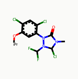 CC(C)Oc1cc(N2C(=O)N(C)C(Cl)N2C(F)F)c(Cl)cc1Cl